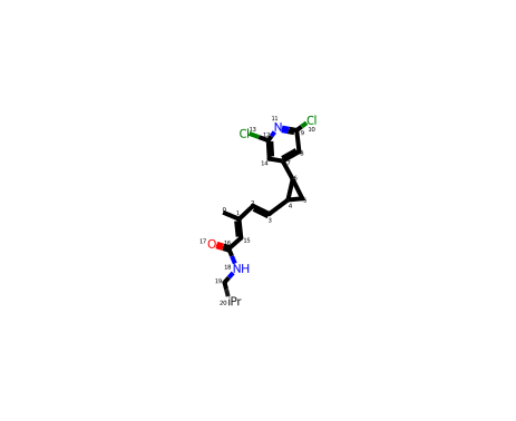 CC(C=CC1CC1c1cc(Cl)nc(Cl)c1)=CC(=O)NCC(C)C